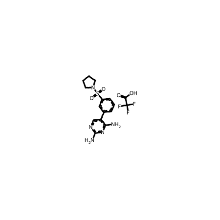 Nc1ncc(-c2cccc(S(=O)(=O)N3CCCC3)c2)c(N)n1.O=C(O)C(F)(F)F